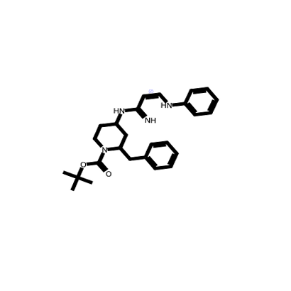 CC(C)(C)OC(=O)N1CCC(NC(=N)/C=C\Nc2ccccc2)CC1Cc1ccccc1